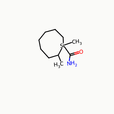 CC1CCCCCC[Si]1(C)C(N)=O